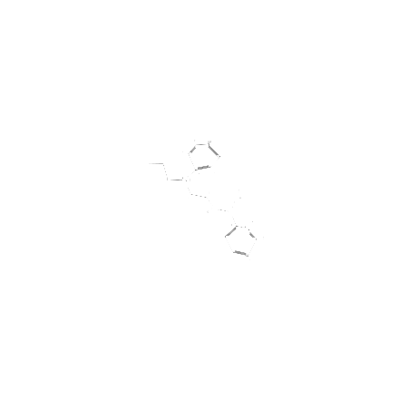 OCCN(CCOB(O)c1ccccn1)c1ccccc1